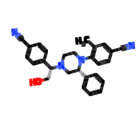 Cc1cc(C#N)ccc1N1CCN([C@H](CO)c2ccc(C#N)cc2)C[C@H]1c1ccccc1